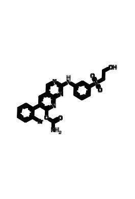 NC(=O)Oc1nc2nc(Nc3cccc(S(=O)(=O)CCO)c3)ncc2cc1-c1ccccc1Br